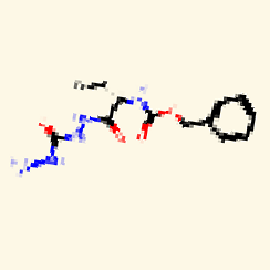 CC(C)C[C@H](NC(=O)OCc1ccccc1)C(=O)NNC(=O)NN